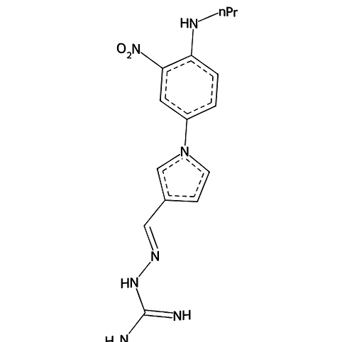 CCCNc1ccc(-n2ccc(/C=N/NC(=N)N)c2)cc1[N+](=O)[O-]